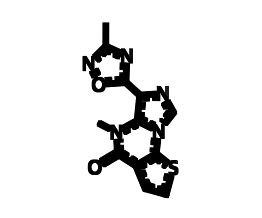 Cc1noc(-c2ncn3c4sccc4c(=O)n(C)c23)n1